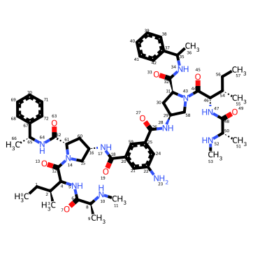 CC[C@H](C)C(NC(=O)[C@H](C)NC)C(=O)N1C[C@@H](NC(=O)c2cc(N)cc(C(=O)N[C@H]3C[C@@H](C(=O)NC(C)c4ccccc4)N(C(=O)[C@@H](NC(=O)[C@H](C)NC)[C@@H](C)CC)C3)c2)C[C@H]1C(=O)N[C@H](C)c1ccccc1